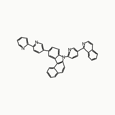 c1ccc(-c2ccc(-c3ccc4c(c3)c3c5ccccc5ccc3n4-c3ccc(-c4nccc5ccccc45)cn3)cn2)nc1